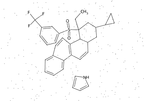 CCC1(S(=O)(=O)c2cccc(C(F)(F)F)c2)CC(C2CC2)CC2C=Cc3c(ccc4ccccc34)C21.c1cc[nH]c1